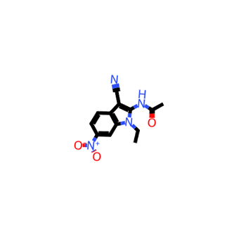 CCn1c(NC(C)=O)c(C#N)c2ccc([N+](=O)[O-])cc21